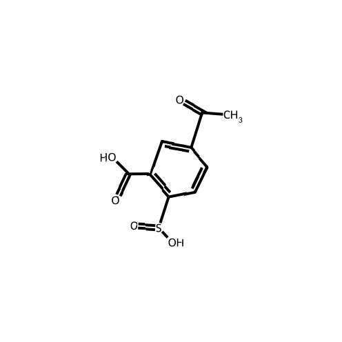 CC(=O)c1ccc(S(=O)O)c(C(=O)O)c1